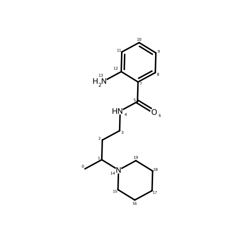 CC(CCNC(=O)c1ccccc1N)N1CCCCC1